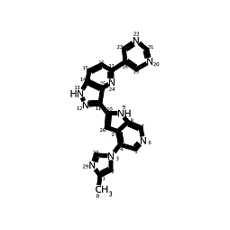 Cc1cn(-c2cncc3[nH]c(-c4n[nH]c5ccc(-c6cncnc6)nc45)cc23)cn1